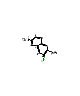 CC(C)c1cc2ccc(C(C)(C)C)cc2cc1F